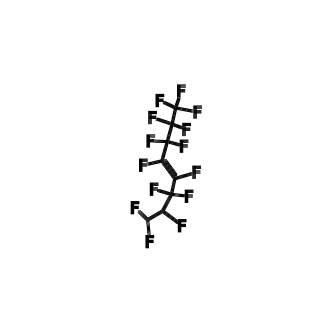 FC(=C(F)C(F)(F)C(F)(F)C(F)(F)F)C(F)(F)C(F)C(F)F